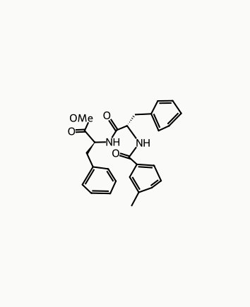 COC(=O)[C@H](Cc1ccccc1)NC(=O)[C@H](Cc1ccccc1)NC(=O)c1cccc(C)c1